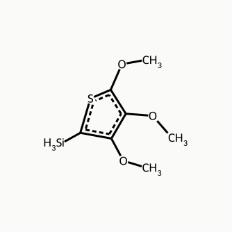 COc1sc([SiH3])c(OC)c1OC